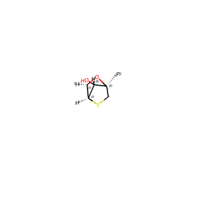 [3H][C@@H]1O[C@@]2(C(C)C)CS[C@@H]1[C@@H]2O